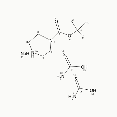 CC(C)(C)OC(=O)N1CCNCC1.NC(O)=S.NC(O)=S.[NaH]